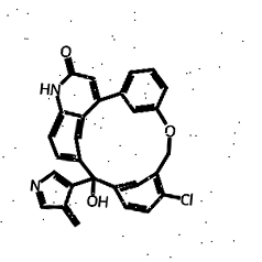 C=C1C=NC=C1C1(O)c2ccc(Cl)c(c2)COc2cccc(c2)-c2cc(=O)[nH]c3ccc1cc23